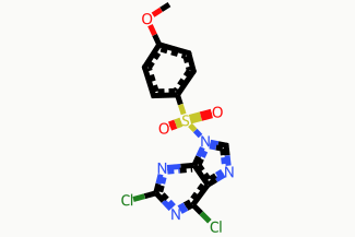 COc1ccc(S(=O)(=O)n2cnc3c(Cl)nc(Cl)nc32)cc1